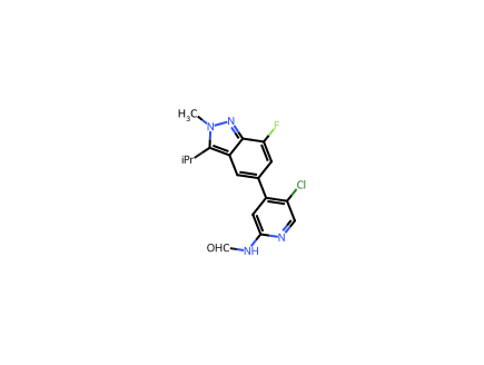 CC(C)c1c2cc(-c3cc(NC=O)ncc3Cl)cc(F)c2nn1C